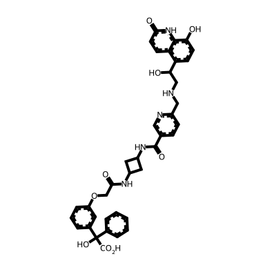 O=C(COc1cccc(C(O)(C(=O)O)c2ccccc2)c1)NC1CC(NC(=O)c2ccc(CNCC(O)c3ccc(O)c4[nH]c(=O)ccc34)nc2)C1